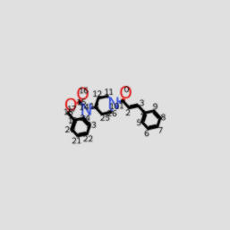 O=C(/C=C/c1ccccc1)N1CCC(N2C(=O)OCc3ccccc32)CC1